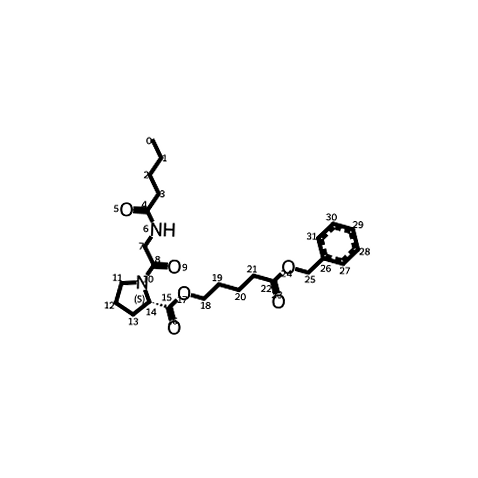 CCCCC(=O)NCC(=O)N1CCC[C@H]1C(=O)OCCCCC(=O)OCc1ccccc1